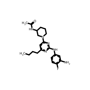 CCCCc1cc(N2CCCC(NC(C)=O)C2)nc(Nc2ccc(F)c(N)c2)n1